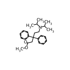 COC(=O)CC(CCN(C(C)C)C(C)C)(c1ccccc1)c1ccccc1